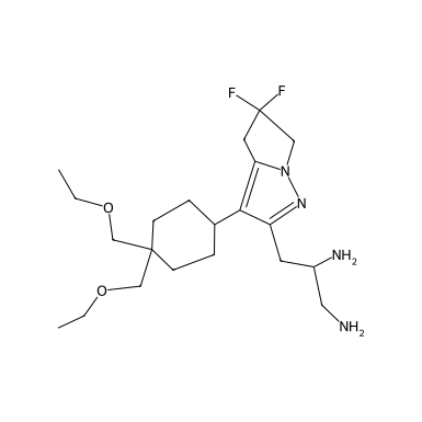 CCOCC1(COCC)CCC(c2c(CC(N)CN)nn3c2CC(F)(F)C3)CC1